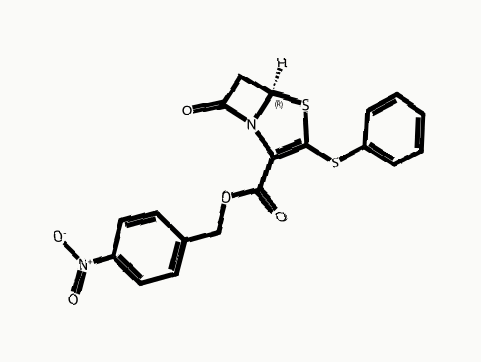 O=C(OCc1ccc([N+](=O)[O-])cc1)C1=C(Sc2ccccc2)S[C@@H]2CC(=O)N12